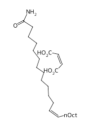 CCCCCCCC/C=C\CCCCCCCCCCCC(N)=O.O=C(O)/C=C\C(=O)O